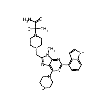 Cn1c(CN2CCN(C(C)(C)C(N)=O)CC2)nc2c(N3CCOCC3)nc(-c3cccc4[nH]ccc34)nc21